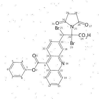 O=C(Oc1ccccc1)c1c2ccccc2nc2cc(C(Br)C(Br)(C(=O)O)N3C(=O)CCC3=O)ccc12